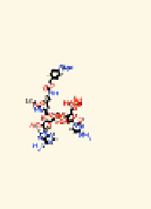 CC(C)(C)OC(=O)N[C@H](CCCCNC(=O)OCc1ccc(N=[N+]=[N-])cc1)C(=O)OC1C(COP(=O)(O)O[C@H]2C[C@H](n3ccc(N)nc3=O)O[C@@H]2COP(=O)(O)O)OC(n2cnc3c(N)ncnc32)C1O